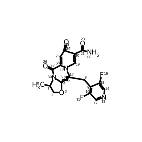 CC1COC23CCC(Cc4c(F)cncc4F)C2n2cc(C(N)=O)c(=O)cc2C(=O)N13